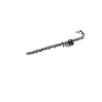 CC/C=C\C/C=C\C/C=C\CCCCCCCC(=O)OC(CCCCCCCCCCCCCCCCCCCCCCCCCCCCCCCCC)C(=O)O